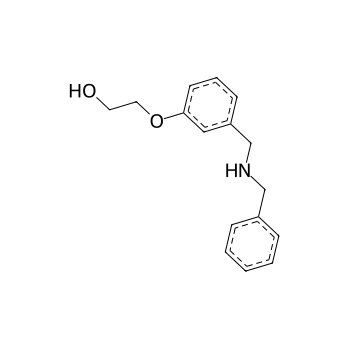 OCCOc1cccc(CNCc2ccccc2)c1